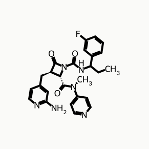 CCC(NC(=O)N1C(=O)[C@H](Cc2ccnc(N)c2)[C@H]1C(=O)N(C)c1ccncc1)c1cccc(F)c1